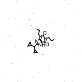 CCCn1c(=O)c2[nH]c(C(C3CC3)C3CC3)nc2n(CCC)c1=O